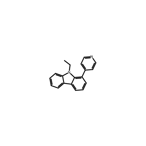 CCn1c2ccccc2c2cccc(-c3ccncc3)c21